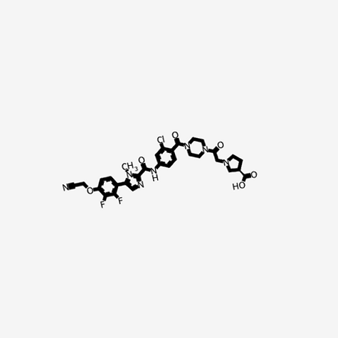 Cn1c(-c2ccc(OCC#N)c(F)c2F)cnc1C(=O)Nc1ccc(C(=O)N2CCN(C(=O)CN3CC[C@@H](C(=O)O)C3)CC2)c(Cl)c1